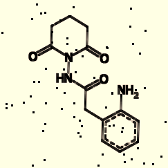 Nc1ccccc1CC(=O)NN1C(=O)CCCC1=O